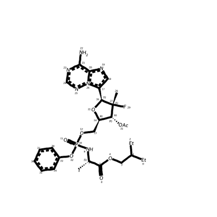 CCC(CC)COC(=O)[C@H](C)NP(=O)(OC[C@H]1O[C@@H](c2cnc3c(N)ncnn23)[C@](C)(F)[C@@H]1OC(C)=O)Oc1ccccc1